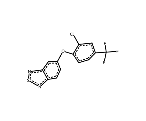 FC(F)(F)c1ccc(Oc2ccc3nsnc3c2)c(Cl)c1